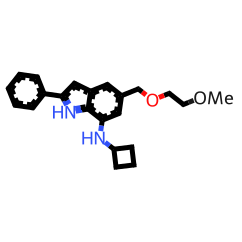 COCCOCc1cc(NC2CCC2)c2[nH]c(-c3ccccc3)cc2c1